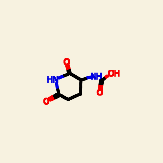 O=C(O)NC1CCC(=O)NC1=O